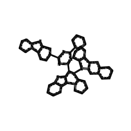 c1ccc(-c2nc(-c3ccc4c(c3)sc3ccccc34)nc(-c3c(-n4c5ccccc5c5cc6ccccc6cc54)c4ccccc4c4c3oc3ccccc34)n2)cc1